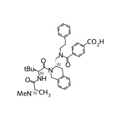 CN[C@@H](C)C(=O)N[C@H](C(=O)N1Cc2ccccc2C[C@H]1CN(CCc1ccccc1)C(=O)c1ccc(C(=O)O)cc1)C(C)(C)C